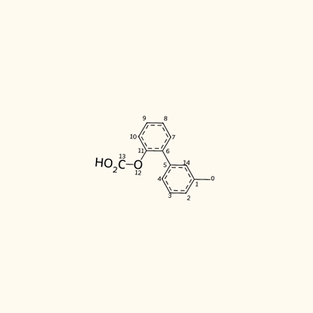 Cc1cccc(-c2ccccc2OC(=O)O)c1